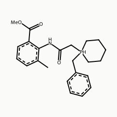 COC(=O)c1cccc(C)c1NC(=O)C[PH]1(Cc2ccccc2)CCCCC1